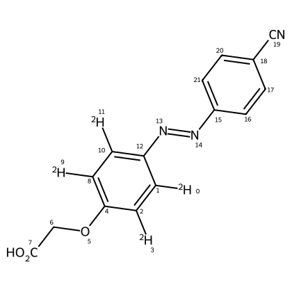 [2H]c1c([2H])c(OCC(=O)O)c([2H])c([2H])c1N=Nc1ccc(C#N)cc1